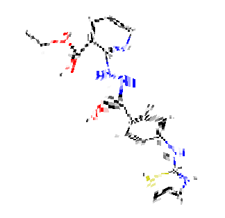 CCOC(=O)c1cccnc1NNC(=O)c1ccc(Nc2nccs2)cc1